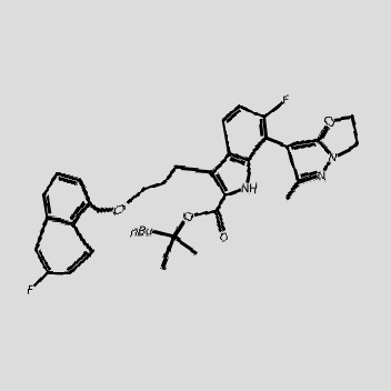 CCCCC(C)(C)OC(=O)c1[nH]c2c(-c3c(C)nn4c3OCC4)c(F)ccc2c1CCCOc1cccc2cc(F)ccc12